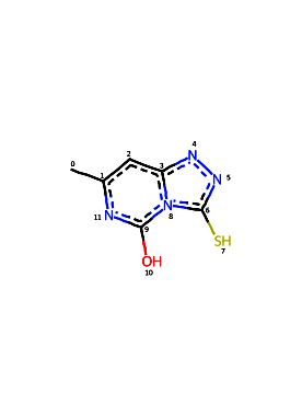 Cc1cc2nnc(S)n2c(O)n1